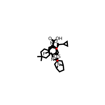 CC1(C)CCC(c2noc(C3CC3)c2COC2CC3CCC(C2)N3c2nc3c(F)cc(C(=O)O)cc3s2)CC1